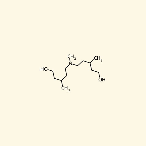 CC(CCO)CCN(C)CCC(C)CCO